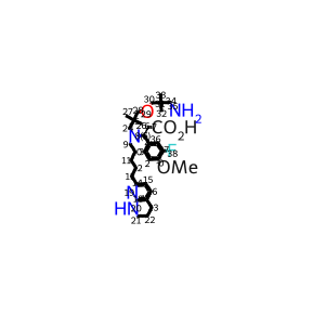 COc1ccc([C@H](CC(=O)O)N(CCCCCc2ccc3c(n2)NCCC3)CC(C)(C)COCC(C)(C)CN)cc1F